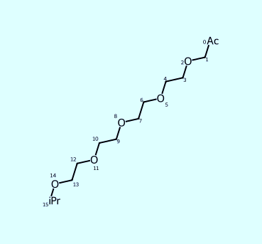 CC(=O)COCCOCCOCCOCCOC(C)C